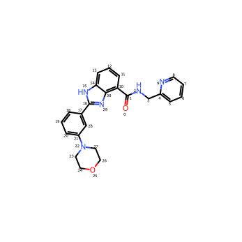 O=C(NCc1ccccn1)c1cccc2[nH]c(-c3cccc(N4CCOCC4)c3)nc12